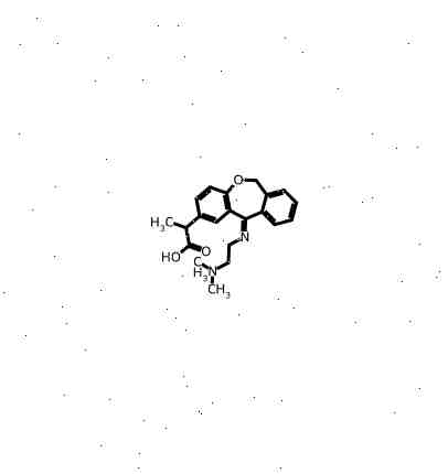 CC(C(=O)O)c1ccc2c(c1)/C(=N\CCN(C)C)c1ccccc1CO2